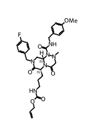 C=CCOC(=O)NCCC[C@H]1C(=O)N(Cc2ccc(F)cc2)C[C@H]2N1C(=O)CN(C)N2C(=O)NCc1ccc(OC)cc1